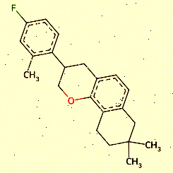 Cc1cc(F)ccc1C1COc2c(ccc3c2CCC(C)(C)C3)C1